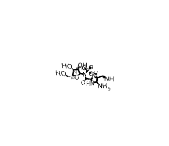 N=Cc1nc(C(=O)N(C2O[C@H](CO)[C@@H](O)[C@H]2O)P(=O)(O)O)[nH]c1N